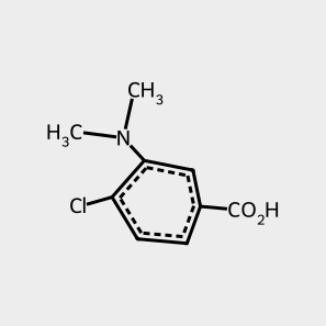 CN(C)c1cc(C(=O)O)ccc1Cl